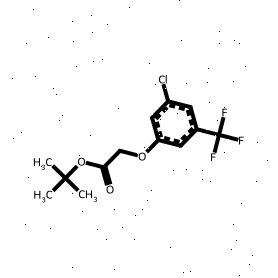 CC(C)(C)OC(=O)COc1cc(Cl)cc(C(F)(F)F)c1